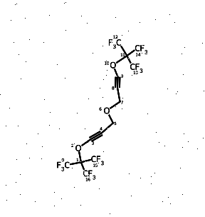 FC(F)(F)C(OC#CCOCC#COC(C(F)(F)F)(C(F)(F)F)C(F)(F)F)(C(F)(F)F)C(F)(F)F